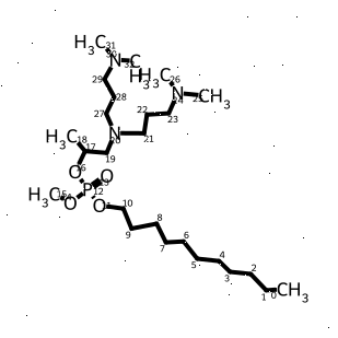 CCCCCCCCCCCOP(=O)(OC)OC(C)CN(CCCN(C)C)CCCN(C)C